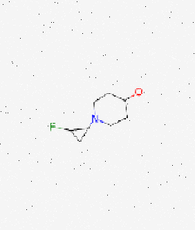 [O]C1CCN(C2CC2F)CC1